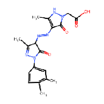 CC1=NN(c2ccc(C)c(C)c2)C(=O)C1N=Nc1c(C)[nH]n(CC(=O)O)c1=O